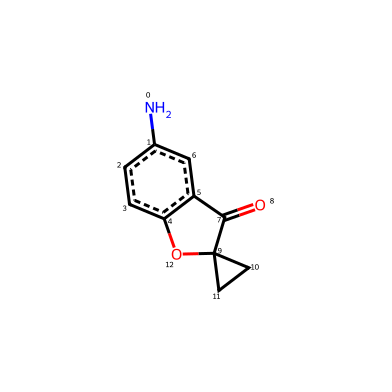 Nc1ccc2c(c1)C(=O)C1(CC1)O2